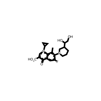 Cc1c(N2CCCC(C(O)CO)C2)c(F)cc2c(=O)c(C(=O)O)cn(C3CC3)c12